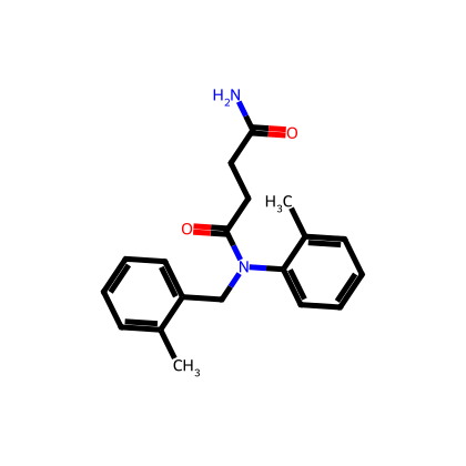 Cc1ccccc1CN(C(=O)CCC(N)=O)c1ccccc1C